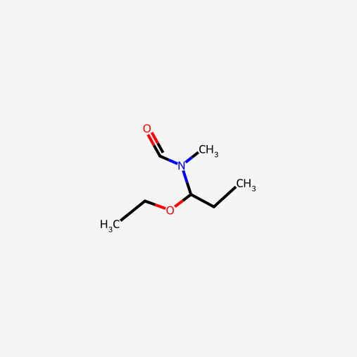 CCOC(CC)N(C)C=O